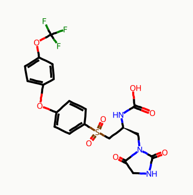 O=C(O)N[C@@H](CN1C(=O)CNC1=O)CS(=O)(=O)c1ccc(Oc2ccc(OC(F)(F)F)cc2)cc1